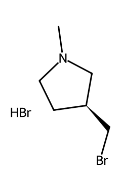 Br.CN1CC[C@H](CBr)C1